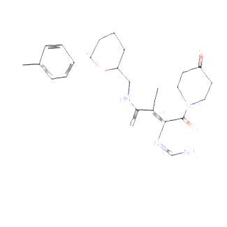 C=C(NCC1CCC[C@@H](c2ccc(C)cc2)O1)/C(C)=C(\N=C/N)C(=O)N1CCC(=O)CC1